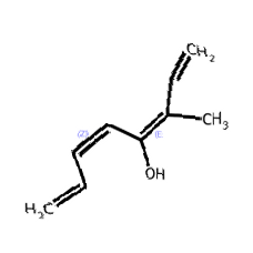 C=C/C=C\C(O)=C(\C)C=C